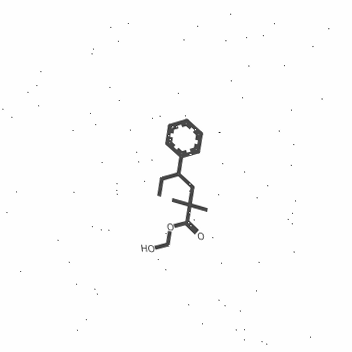 CCC(CC(C)(C)C(=O)OCO)c1ccccc1